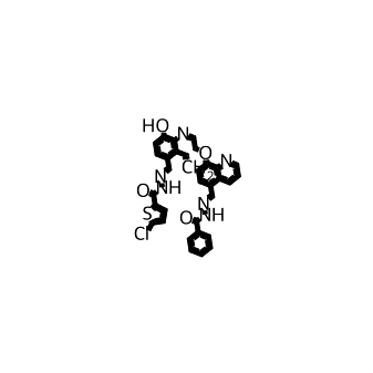 C=Cc1c(/C=N/NC(=O)c2ccc(Cl)s2)ccc(O)c1/N=C\COc1ccc(/C=N/NC(=O)c2ccccc2)c2cccnc12